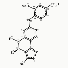 CC[C@@H]1c2c(C#N)ncn2-c2cnc(Nc3ccc(C(=O)O)cc3OC)nc2N1C(C)C